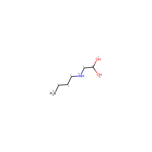 BCCCNCC(O)O